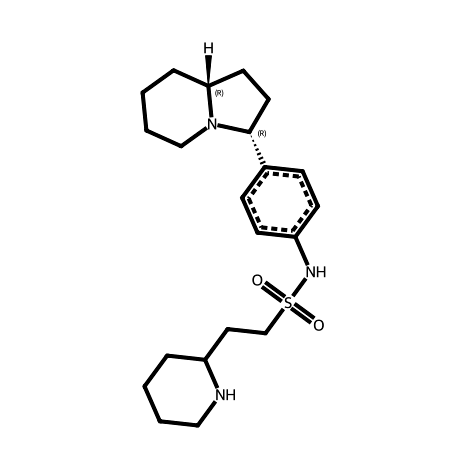 O=S(=O)(CCC1CCCCN1)Nc1ccc([C@H]2CC[C@H]3CCCCN32)cc1